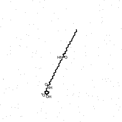 CCCCCCCCCCCCCCCC=CC(=O)NCCCCCCCCCCCCCCCC=CC(=O)NCc1ccc(O)c(OC)c1